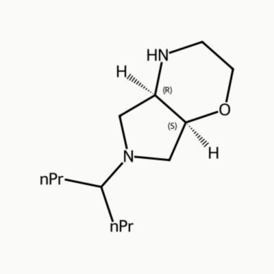 CCCC(CCC)N1C[C@@H]2OCCN[C@@H]2C1